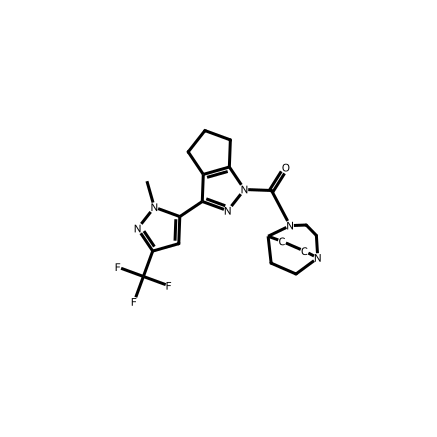 Cn1nc(C(F)(F)F)cc1-c1nn(C(=O)N2CCN3CCC2CC3)c2c1CCC2